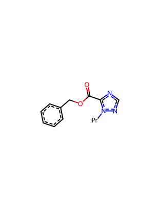 CC(C)n1ncnc1C(=O)OCc1ccccc1